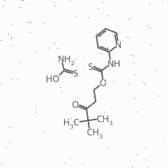 CC(C)(C)C(=O)CCOC(=S)Nc1ccccn1.NC(O)=S